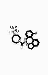 CS(=O)(=O)N[C@H]1CCCN(C(=O)N[C@@H]2CCc3cccc(-c4c(F)cccc4F)c32)CC1